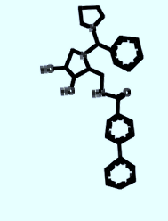 O=C(NCC1C(O)C(O)CN1C(c1ccccc1)N1CCCC1)c1ccc(-c2ccccc2)cc1